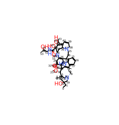 CCC1(O)C[C@H]2C[N@](CCc3c([nH]c4ccccc34)[C@@](C(=O)OC)(c3cc4c(cc3OC)N(C)C3CC5N(CC=C[C@@]5(CC)[C@@H](O)[C@]3(O)C(=O)NC[C@@H](C)O)CCC4)C2)C1